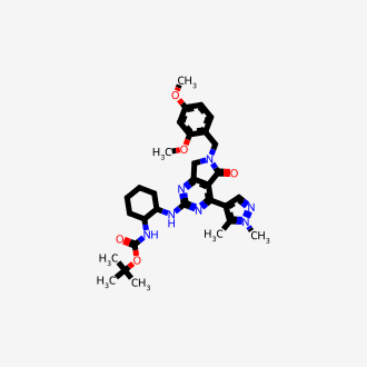 COc1ccc(CN2Cc3nc(NC4CCCCC4NC(=O)OC(C)(C)C)nc(-c4cnn(C)c4C)c3C2=O)c(OC)c1